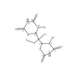 CCC(C)(N1CC(=O)NC(=O)C1C)N1CC(=O)NC(=O)C1C